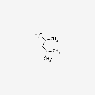 [CH2][C@@H](C)CN(C)C